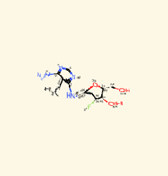 Cc1c(N)ncnc1N[C@@H]1O[C@H](CO)[C@@H](O)[C@H]1F